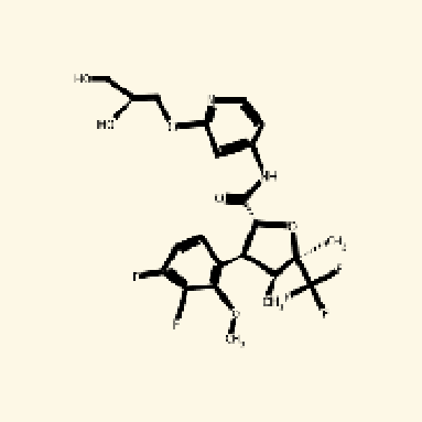 COc1c([C@H]2[C@H](C(=O)Nc3ccnc(OC[C@@H](O)CO)c3)O[C@@](C)(C(F)(F)F)[C@H]2C)ccc(F)c1F